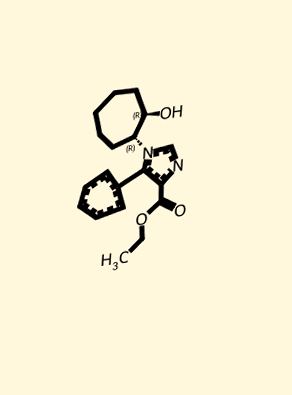 CCOC(=O)c1ncn([C@@H]2CCCCC[C@H]2O)c1-c1ccccc1